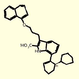 O=C(O)c1[nH]c2c(C3=CCCC[C@@H]3C3CCCCC3)cccc2c1CCCOc1cccc2ccccc12